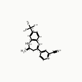 C=C1CC(c2ccnc(C#N)c2)=Nc2ccc(C(F)(F)F)cc2N1